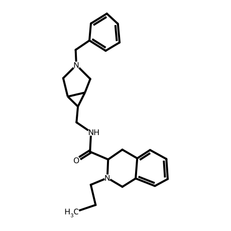 CCCN1Cc2ccccc2CC1C(=O)NCC1C2CN(Cc3ccccc3)CC12